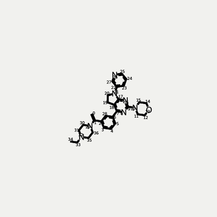 C=C(c1cccc(-c2nc(N3CCOCC3)nc3c2CCN3c2cccnc2)c1)N1CCN(CC)CC1